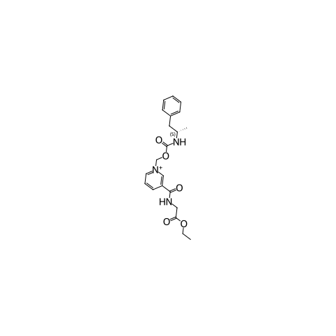 CCOC(=O)CNC(=O)c1ccc[n+](COC(=O)N[C@@H](C)Cc2ccccc2)c1